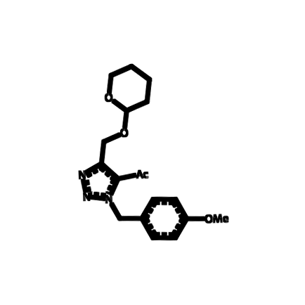 COc1ccc(Cn2nnc(COC3CCCCO3)c2C(C)=O)cc1